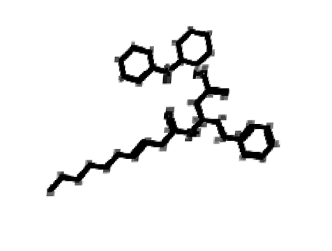 C1CCC(NC2CCCCC2)CC1.CCCCCCC=CCC(=O)N[C@H](CSc1ccccc1)CC(=O)O